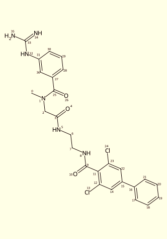 CN(CC(=O)NCCNC(=O)c1c(Cl)cc(-c2ccccc2)cc1Cl)C(=O)c1cccc(NC(=N)N)c1